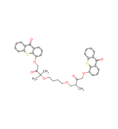 CC(COCCCCOC(C)(C)C(=O)COc1cccc2c(=O)c3ccccc3sc12)C(=O)COc1cccc2c(=O)c3ccccc3sc12